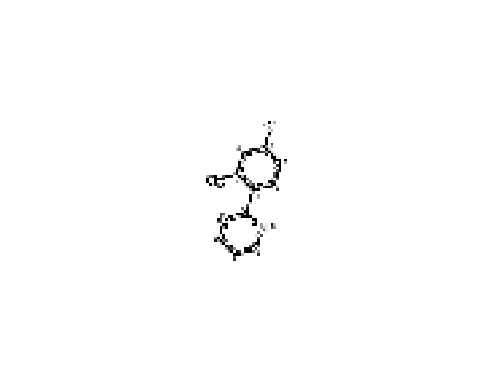 Clc1ccc(-c2ncccn2)c(Cl)c1